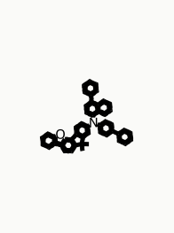 CC1(C)c2cc(N(c3ccc(-c4ccccc4)cc3)c3ccc(-c4ccccc4)c4ccccc34)ccc2-c2c1ccc1c2oc2ccccc21